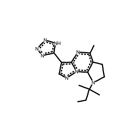 CCC(C)(C)N1CCc2c(C)nc3c(-c4nnn[nH]4)cnn3c21